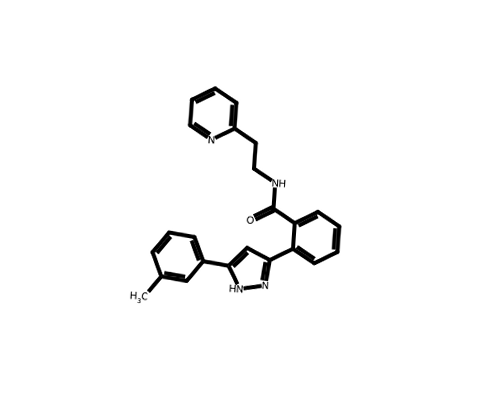 Cc1cccc(-c2cc(-c3ccccc3C(=O)NCCc3ccccn3)n[nH]2)c1